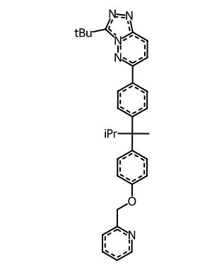 CC(C)C(C)(c1ccc(OCc2ccccn2)cc1)c1ccc(-c2ccc3nnc(C(C)(C)C)n3n2)cc1